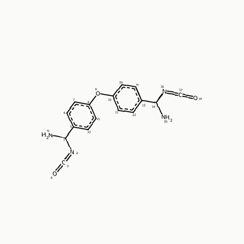 NC(N=C=O)c1ccc(Oc2ccc(C(N)N=C=O)cc2)cc1